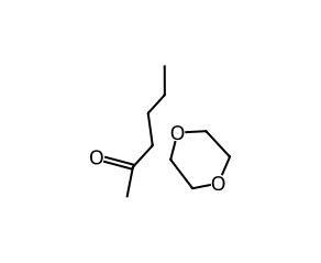 C1COCCO1.CCCCC(C)=O